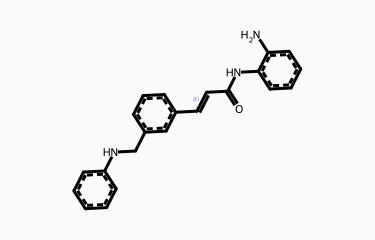 Nc1ccccc1NC(=O)/C=C/c1cccc(CNc2ccccc2)c1